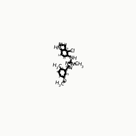 COc1ccc(C)c(-c2nc(Nc3ccc4[nH]ncc4c3Cl)n(C)n2)c1